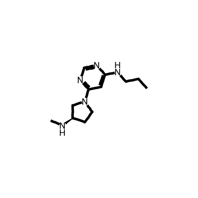 CCCNc1cc(N2CC[C@@H](NC)C2)ncn1